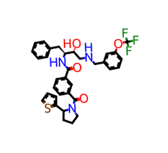 O=C(N[C@@H](Cc1ccccc1)[C@H](O)CNCc1cccc(OC(F)(F)F)c1)c1cccc(C(=O)N2CCCC2c2cccs2)c1